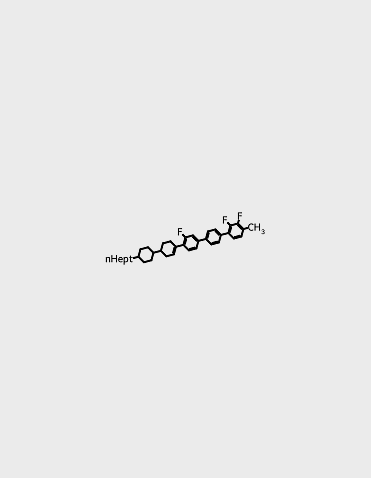 CCCCCCCC1CCC(C2CC=C(c3ccc(-c4ccc(-c5ccc(C)c(F)c5F)cc4)cc3F)CC2)CC1